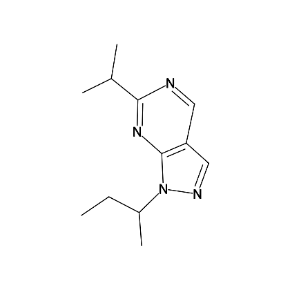 CCC(C)n1ncc2cnc(C(C)C)nc21